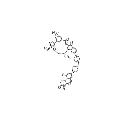 Cc1cc2cc(n1)-c1cnn(C)c1OCCC[C@@H](C)CN1/C(=N/C2=O)Nc2ccc(N3CCN(CC4CCN(c5cc(F)c([C@H]6CCC(=O)NC6=O)c(F)c5)CC4)CC3)cc21